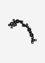 CC(C)(c1ccc(OCC(=O)NCCCCNc2ccc3c(c2)C(=O)N(C2CCC(=O)NC2=O)C3=O)cc1)c1ccc(OCC(O)CCl)cc1